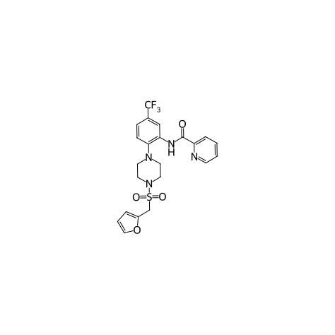 O=C(Nc1cc(C(F)(F)F)ccc1N1CCN(S(=O)(=O)Cc2ccco2)CC1)c1ccccn1